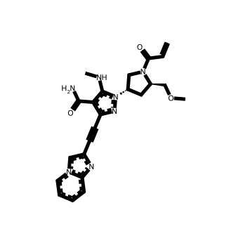 C=CC(=O)N1C[C@@H](n2nc(C#Cc3cn4ccccc4n3)c(C(N)=O)c2NC)C[C@@H]1COC